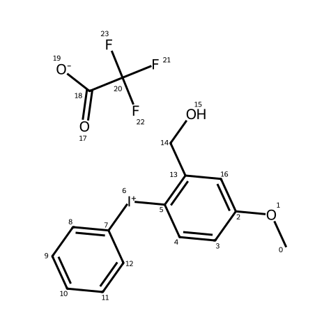 COc1ccc([I+]c2ccccc2)c(CO)c1.O=C([O-])C(F)(F)F